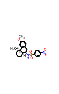 CC[C@@]12CCCC[C@@H]1[C@@H](NS(=O)(=O)c1ccc([N+](=O)[O-])cc1)Cc1ccc(OC)cc12